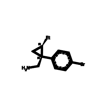 CC[C@H]1C[C@@]1(CN)c1ccc(Br)cc1